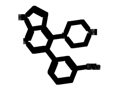 COc1cccc(-c2cnc3[nH]ccc3c2N2CCNCC2)c1